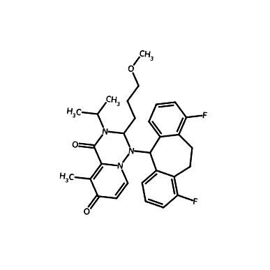 COCCCC1N(C(C)C)C(=O)c2c(C)c(=O)ccn2N1C1c2cccc(F)c2CCc2c(F)cccc21